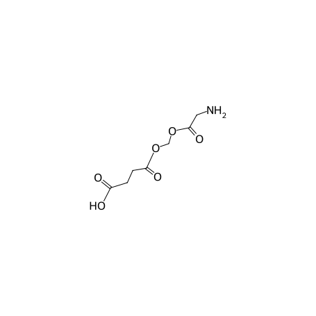 NCC(=O)OCOC(=O)CCC(=O)O